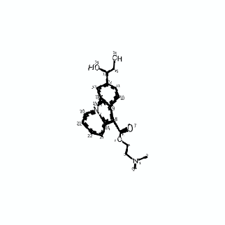 CN(C)CCOC(=O)c1c2ccc(C(O)CO)cc2n2ccccc12